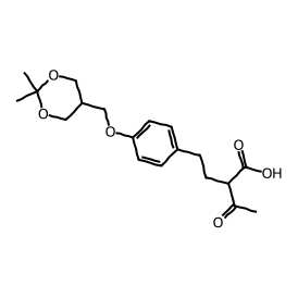 CC(=O)C(CCc1ccc(OCC2COC(C)(C)OC2)cc1)C(=O)O